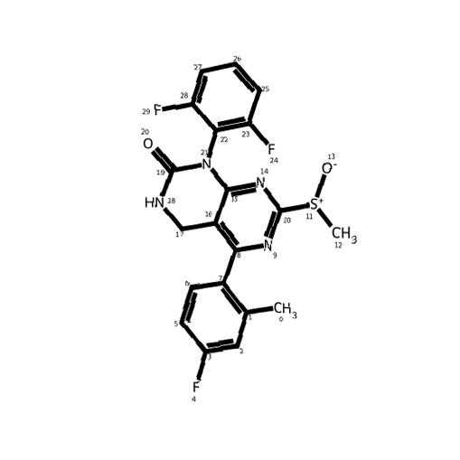 Cc1cc(F)ccc1-c1nc([S+](C)[O-])nc2c1CNC(=O)N2c1c(F)cccc1F